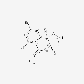 CCc1cc(F)c2c(c1)[C@H]1CNC[C@@H]1NC2=O.Cl